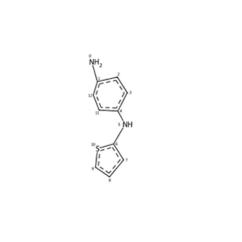 Nc1ccc(Nc2cccs2)cc1